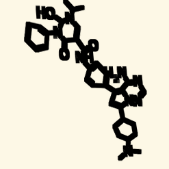 CC(C)N1C=C(C(=O)Nc2ccc(-c3cc(C4CCC(N(C)C)CC4)n4ncnc(N)c34)cc2)C(=O)N(c2ccccc2)C1O